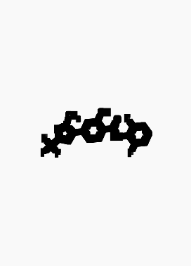 Cn1nc(C(F)(F)F)cc1-c1ccc(C(=O)Nc2c(F)cccc2F)c(O)c1